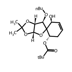 CCCCO[C@@H]1[C@H]2OC(C)(C)O[C@H]2OC12[C@@H](OC(=O)C(C)(C)C)CC=C[C@@H]2O